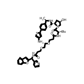 C[C@@H](NC(=O)[C@@H]1C[C@@H](O)CN1C(=O)[C@@H](NC(=O)CCOCCOCCC(=O)NC(c1cccnc1)c1cc2ccccc2o1)C(C)(C)C)c1ccc(-c2cc(N)cs2)cc1